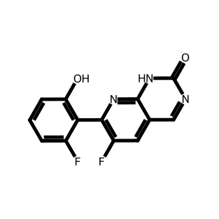 O=c1ncc2cc(F)c(-c3c(O)cccc3F)nc2[nH]1